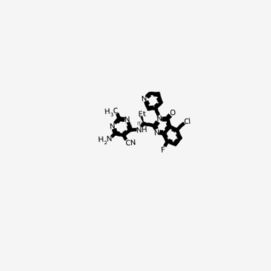 CC[C@H](Nc1nc(C)nc(N)c1C#N)c1nc2c(F)ccc(Cl)c2c(=O)n1-c1cccnc1